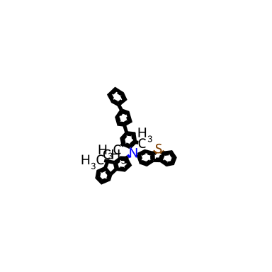 Cc1cc(-c2ccc(-c3ccccc3)cc2)cc(C)c1N(c1ccc2c(c1)C(C)(C)c1ccccc1-2)c1ccc2c(c1)sc1ccccc12